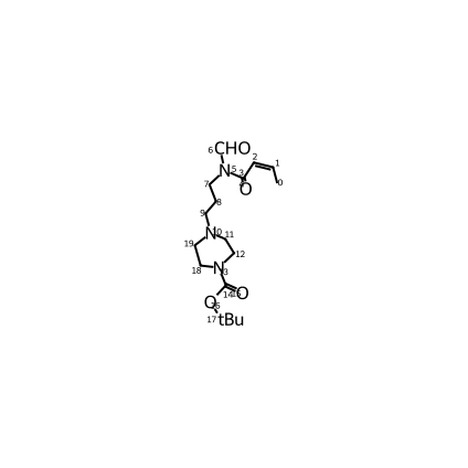 C/C=C\C(=O)N(C=O)CCCN1CCN(C(=O)OC(C)(C)C)CC1